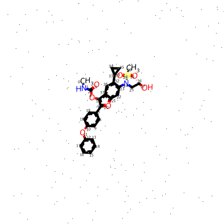 CNC(=O)Oc1c(-c2ccc(Oc3ccccc3)cc2)oc2cc(N(CCO)S(C)(=O)=O)c(C3CC3)cc12